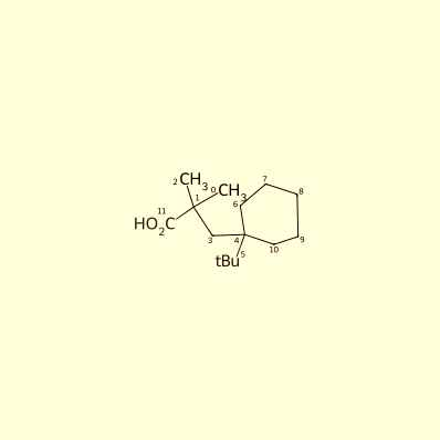 CC(C)(CC1(C(C)(C)C)CCCCC1)C(=O)O